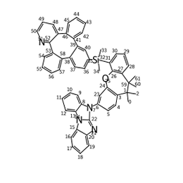 CC1(C)c2ccc(-n3c4ccccc4n4c5ccccc5nc34)cc2Oc2c(cccc2[Si](C)(C)c2ccc3c(c2)-c2ccccc2-c2cccnc2-c2ccccc2-3)C1(C)C